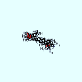 C/C=C(/C)C(=O)O[C@H]1[C@H](OC(=O)/C(C)=C\C)[C@@]2(CO)C(CC1(C)C)C1=CCC3[C@@]4(C)CC[C@H](O[C@@H]5OC(C(=O)O)[C@@H](O)[C@@H](O[C@@H]6O[C@@H](CO)C(O)[C@@H]6O)C5O[C@@H]5OC(CO)[C@@H](O)[C@@H](O)C5O)[C@](C)(CO)C4CC[C@@]3(C)[C@]1(C)[C@@H](O)[C@H]2O